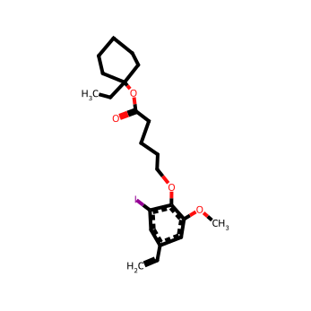 C=Cc1cc(I)c(OCCCCC(=O)OC2(CC)CCCCC2)c(OC)c1